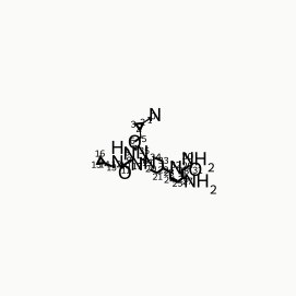 N#C[C@@H]1C[C@@H]1COc1nc(C(=O)NCC2CC2)nc(N2CCC(c3ccc(N)c(C(N)=O)n3)CC2)n1